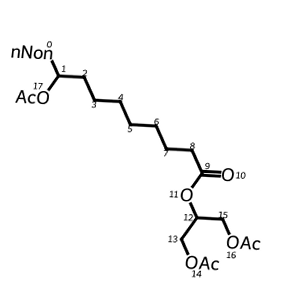 CCCCCCCCCC(CCCCCCCC(=O)OC(COC(C)=O)COC(C)=O)OC(C)=O